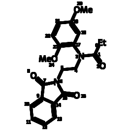 CCC(=O)N(CCN1C(=O)c2ccccc2C1=O)c1cc(OC)ccc1OC